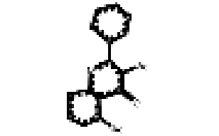 CC(=O)c1c(-c2ccccc2)oc2cccc(C(C)=O)c2c1=O